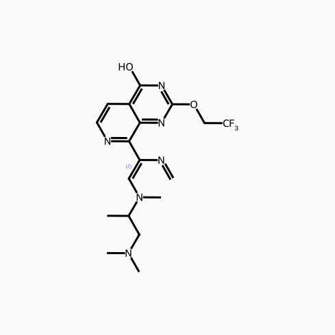 C=N/C(=C\N(C)C(C)CN(C)C)c1nccc2c(O)nc(OCC(F)(F)F)nc12